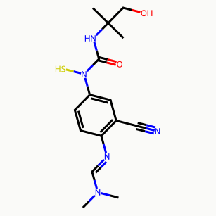 CN(C)C=Nc1ccc(N(S)C(=O)NC(C)(C)CO)cc1C#N